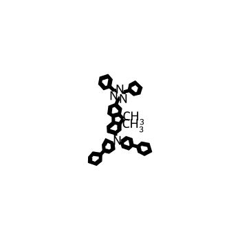 CC1(C)c2cc(-c3nc(-c4ccccc4)nc(-c4ccccc4)n3)ccc2-c2ccc(N(c3ccc(-c4ccccc4)cc3)c3ccc(-c4ccccc4)cc3)cc21